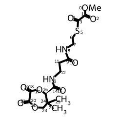 COC(=O)C(=O)SCCNC(=O)CCNC(=O)[C@@H]1OC(=O)C(=O)OCC1(C)C